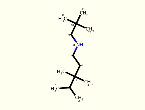 CC(C)C(C)(C)CCNCC(C)(C)C